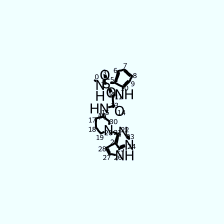 CNS(=O)(=O)c1ccccc1NCC(=O)N[C@@H]1CCCN(c2ncnc3[nH]ccc23)C1